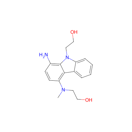 CN(CCO)c1ccc(N)c2c1c1ccccc1n2CCO